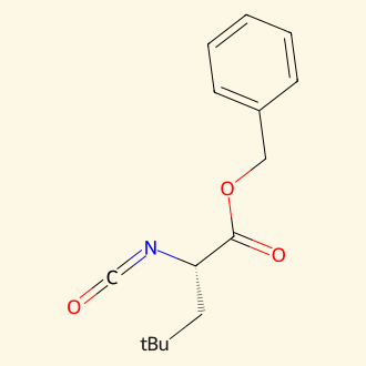 CC(C)(C)C[C@H](N=C=O)C(=O)OCc1ccccc1